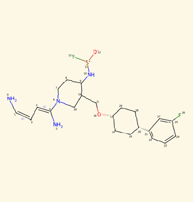 N/C=C\C=C(/N)N1CCC(N[S+]([O-])F)C(CO[C@H]2CC[C@@H](c3cccc(F)c3)CC2)C1